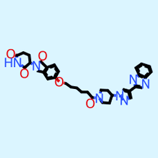 O=C1CCC(N2Cc3cc(OCCCCCC(=O)N4CCC(n5cc(-c6cnc7ccccc7n6)cn5)CC4)ccc3C2=O)C(=O)N1